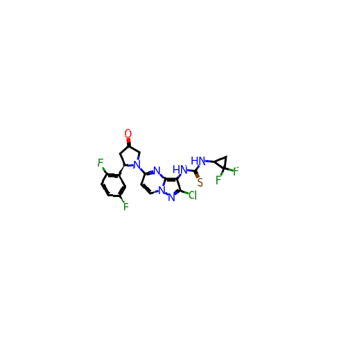 O=C1C[C@H](c2cc(F)ccc2F)N(c2ccn3nc(Cl)c(NC(=S)NC4CC4(F)F)c3n2)C1